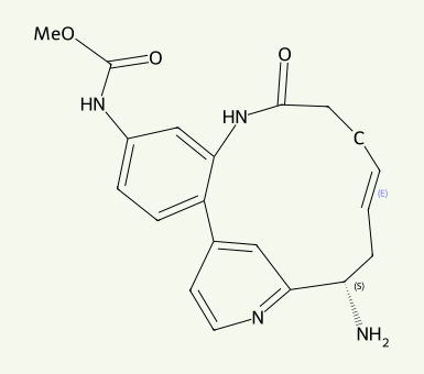 COC(=O)Nc1ccc2c(c1)NC(=O)CC/C=C/C[C@H](N)c1cc-2ccn1